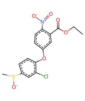 CCOC(=O)c1cc(Oc2ccc([S+](C)[O-])cc2Cl)ccc1[N+](=O)[O-]